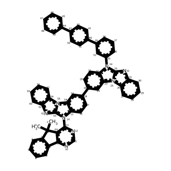 CC1(C)c2ccccc2-c2ncnc(-n3c4ccc(-c5ccc6c(c5)n5c7ccccc7nc5n6-c5cccc(-c6ccc(-c7ccccc7)cc6)c5)cc4n4c5ccccc5nc34)c21